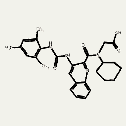 Cc1cc(C)c(NC(=O)Nc2cc3ccccc3nc2C(=O)N(CC(=O)O)C2CCCCC2)c(C)c1